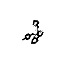 Cc1ccc(Cn2c3ccccc3c3ccnc(OCc4ccccn4)c32)cc1